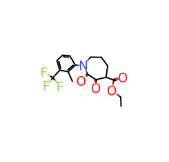 CCOC(=O)C1CCCN(c2cccc(C(F)(F)F)c2C)C(=O)C1=O